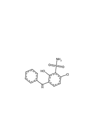 NS(=O)(=O)c1c(Cl)ccc(Nc2ccccc2)c1O